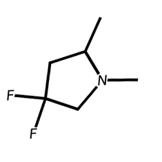 CC1CC(F)(F)CN1C